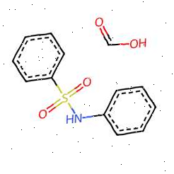 O=CO.O=S(=O)(Nc1ccccc1)c1ccccc1